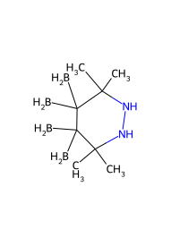 BC1(B)C(C)(C)NNC(C)(C)C1(B)B